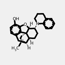 CN1CC[C@]23c4c5ccc(O)c4O[C@H]2[C@H](N2CCCc4ccccc42)CC[C@H]3[C@H]1C5